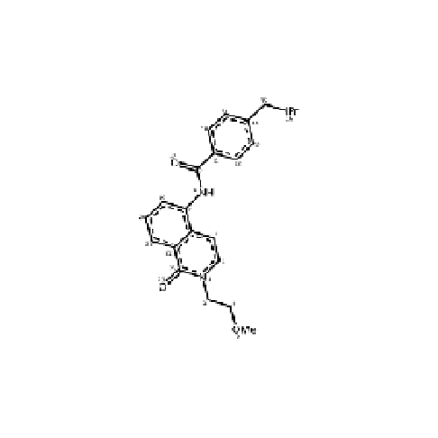 COCCn1ccc2c(NC(=O)c3ccc(CC(C)C)cc3)cccc2c1=O